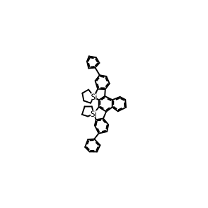 c1ccc(-c2ccc3c(c2)[Si]2(CCCC2)c2c4c(c5ccccc5c2-3)-c2ccc(-c3ccccc3)cc2[Si]42CCCC2)cc1